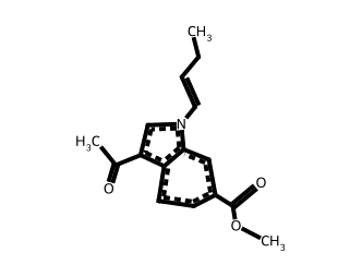 CCC=Cn1cc(C(C)=O)c2ccc(C(=O)OC)cc21